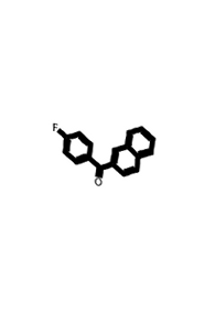 O=C(c1ccc(F)cc1)c1ccc2ccccc2c1